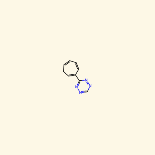 C1=CCC=C(c2nncnn2)C=C1